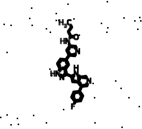 CCCC(=O)Nc1cncc(-c2ccc3[nH]nc(-c4cc5c(-c6ccc(F)cc6)cncc5[nH]4)c3c2)c1